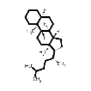 CC(O)CC[C@@H](C)[C@H]1CC[C@H]2[C@@H]3CC[C@@H]4CCCC[C@]4(C)[C@H]3CC[C@]12C